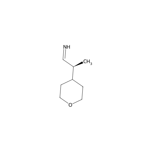 C[C@H](C=N)C1CCOCC1